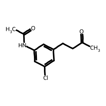 CC(=O)CCc1cc(Cl)cc(NC(C)=O)c1